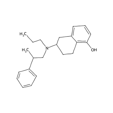 CCCN(CC(C)c1ccccc1)C1CCc2c(O)cccc2C1